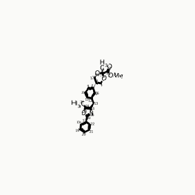 COC(=O)[C@]1(C)OC[C@H](c2cccc(Cc3nc(-c4ccccc4)oc3C)c2)CO1